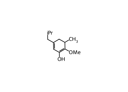 COC1=C(O)C=C(CC(C)C)CC1C